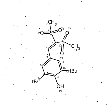 CC(C)(C)c1cc(C=C(S(C)(=O)=O)S(C)(=O)=O)cc(C(C)(C)C)c1O